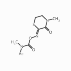 CC(=O)N(C)C(=O)ON=C1SCCN(C)C1=O